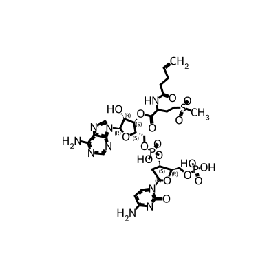 C=CCCC(=O)NC(CCS(C)(=O)=O)C(=O)O[C@H]1[C@@H](O)[C@H](n2cnc3c(N)ncnc32)O[C@H]1COP(=O)(O)O[C@H]1C[C@H](n2ccc(N)nc2=O)O[C@@H]1COP(=O)(O)O